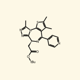 Cc1sc2c(c1C)C(c1ccncc1)=N[C@@H](CC(=O)OC(C)(C)C)c1nnc(C)n1-2